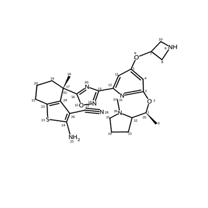 C[C@H](Oc1cc(OC2CNC2)cc(-c2noc([C@@]3(C)CCCc4sc(N)c(C#N)c43)n2)n1)C1CCCN1C